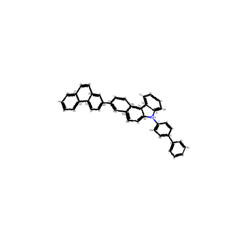 c1ccc(-c2ccc(-n3c4ccccc4c4c5ccc(-c6ccc7c(ccc8ccccc87)c6)cc5ccc43)cc2)cc1